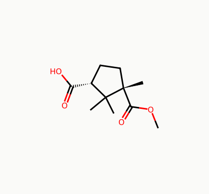 COC(=O)[C@@]1(C)CC[C@@H](C(=O)O)C1(C)C